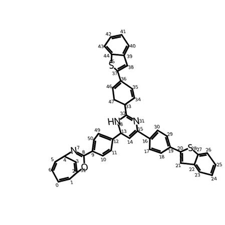 C1=CC2=CC(C=C1)N=C(c1ccc(C3C=C(c4ccc(-c5cc6ccccc6s5)cc4)N=C(C4C=CC(c5cc6ccccc6s5)=CC4)N3)cc1)O2